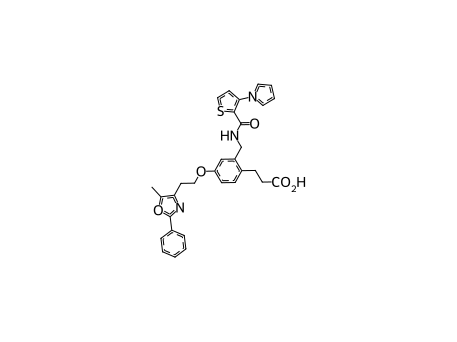 Cc1oc(-c2ccccc2)nc1CCOc1ccc(CCC(=O)O)c(CNC(=O)c2sccc2-n2cccc2)c1